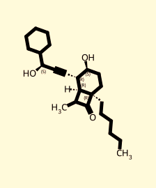 CCCCCC[C@@]12CC[C@H](O)[C@@H](C#C[C@@H](O)C3CCCCC3)[C@@H]1C(C)C2=O